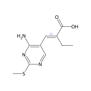 CC/C(=C\c1cnc(SC)nc1N)C(=O)O